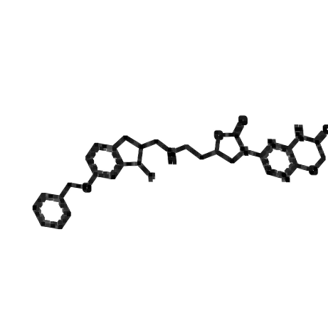 O=C1COc2ncc(N3CC(CCNCC4Cc5ccc(OCc6ccccc6)cc5C4F)OC3=O)nc2N1